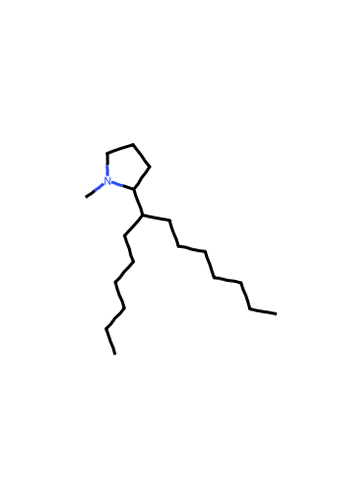 CCCCCCCC(CCCCCC)C1CCCN1C